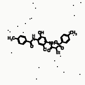 CCC(C(=O)Nc1cc(O)c(NC(=O)c2ccc(C)cc2)cc1Cl)S(=O)(=O)c1ccc(C)cc1